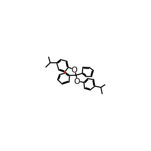 CC(C)c1ccc(OC(Oc2ccc(C(C)C)cc2)(c2ccccc2)c2ccccc2)cc1